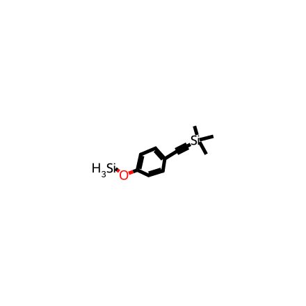 C[Si](C)(C)C#Cc1ccc(O[SiH3])cc1